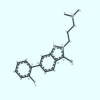 CN(C)CCCn1nc2cc(-c3ccccc3F)ccc2c1Br